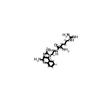 CCCCc1nc2c(N)nc3ccccc3c2n1CCNC(=O)C(N)CCCNC(=N)N